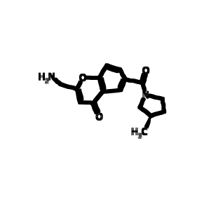 C[C@@H]1CCN(C(=O)c2ccc3oc(CN)cc(=O)c3c2)C1